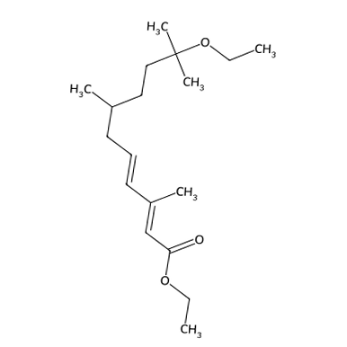 CCOC(=O)/C=C(C)/C=C/CC(C)CCC(C)(C)OCC